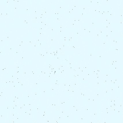 C=C(C)n1nc(C(=O)N2CCC[C@H]2CN2CCCC2)c2sc(NC(=O)c3cccc(C)c3C)nc21